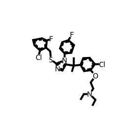 CCN(CC)CCOc1cc(C(C)(C)c2cnc(SCc3c(F)cccc3Cl)n2-c2ccc(F)cc2)ccc1Cl